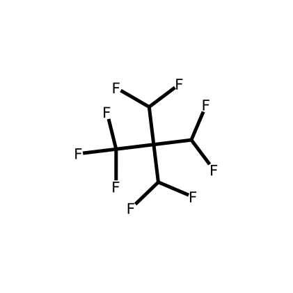 FC(F)C(C(F)F)(C(F)F)C(F)(F)F